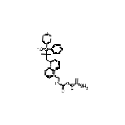 BNPOC(=O)NCc1cccc2c(CC(C)(C)[Si](O)(c3ccccc3)c3ccccc3)cccc12